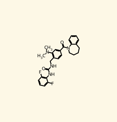 CN(C)c1cc(C(=O)N2CCCCc3ccccc32)ccc1CNC(=O)Nc1c(F)cccc1F